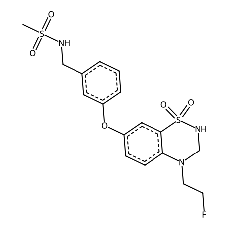 CS(=O)(=O)NCc1cccc(Oc2ccc3c(c2)S(=O)(=O)NCN3CCF)c1